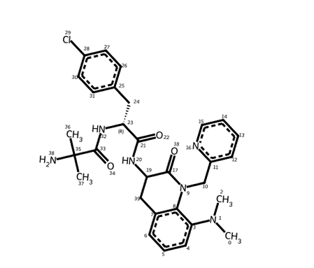 CN(C)c1cccc2c1N(Cc1ccccn1)C(=O)C(NC(=O)[C@@H](Cc1ccc(Cl)cc1)NC(=O)C(C)(C)N)C2